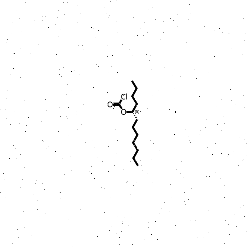 CCCCCCC[C@@H](CCCC)OC(=O)Cl